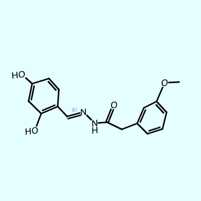 COc1cccc(CC(=O)N/N=C/c2ccc(O)cc2O)c1